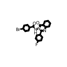 O=C(Nn1c(-c2ccc(F)cc2)nc2ccccc2c1=O)c1ccc(Br)cc1